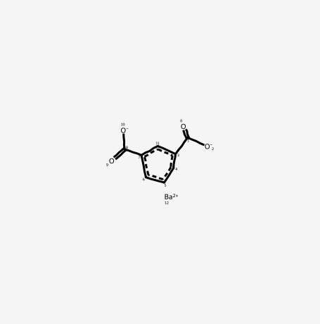 O=C([O-])c1cccc(C(=O)[O-])c1.[Ba+2]